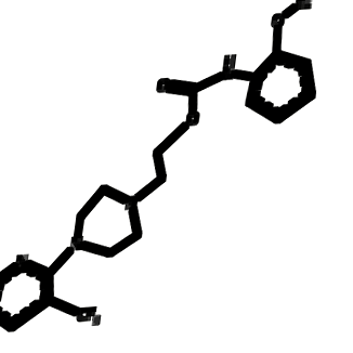 CCOc1ccccc1NC(=O)OCCN1CCN(c2ncccc2C(F)(F)F)CC1